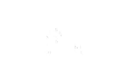 CNC1CCC(Nc2ncnc3sc4c(c23)[C@@H](CCO)CC4)CC1